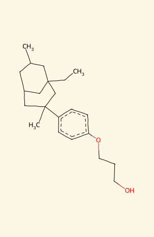 CCC12CC(C)CC(C1)CC(C)(c1ccc(OCCCO)cc1)C2